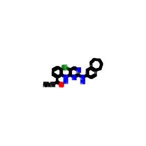 CNC(=O)c1ccccc1Nc1nc(Nc2ccc3c(c2)CCCCC3)ncc1Cl